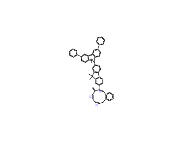 C=C1/C=C\C=C/Cc2ccccc2/C=C\1c1ccc2c(c1)C(C)(C)c1cc(-n3c4ccc(-c5ccccc5)cc4c4cc(-c5ccccc5)ccc43)ccc1-2